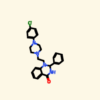 O=C1NC(c2ccccc2)N(CCN2CCN(c3ccc(Cl)cc3)CC2)c2ccccc21